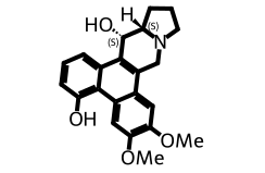 COc1cc2c3c(c4cccc(O)c4c2cc1OC)[C@H](O)[C@@H]1CCCN1C3